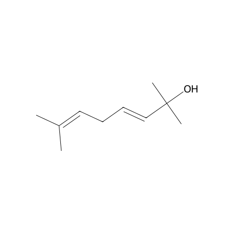 CC(C)=CCC=CC(C)(C)O